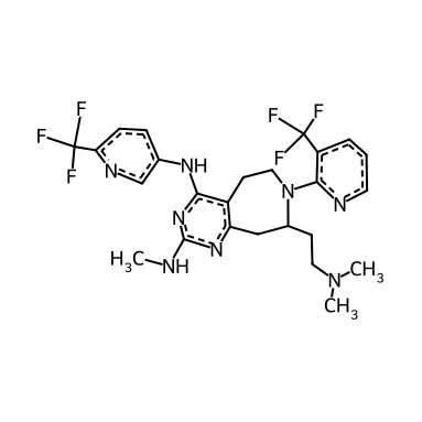 CNc1nc2c(c(Nc3ccc(C(F)(F)F)nc3)n1)CCN(c1ncccc1C(F)(F)F)C(CCN(C)C)C2